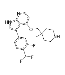 CC1(COc2ccnc3[nH]cc(-c4ccc(C(F)F)c(F)c4)c23)CCNCC1